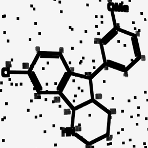 COc1cccc(C2c3ccc(Cl)cc3C3NCCCC32)c1